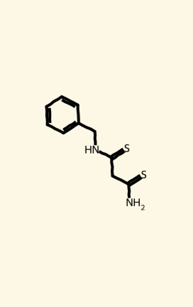 NC(=S)CC(=S)NCc1ccccc1